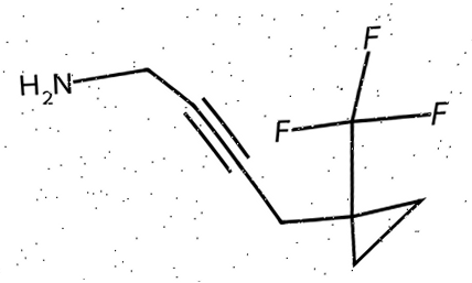 NCC#CCC1(C(F)(F)F)CC1